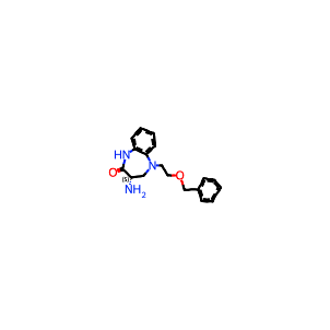 N[C@H]1CN(CCOCc2ccccc2)c2ccccc2NC1=O